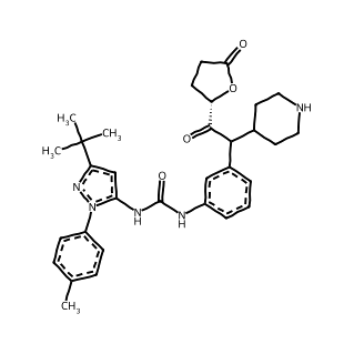 Cc1ccc(-n2nc(C(C)(C)C)cc2NC(=O)Nc2cccc(C(C(=O)[C@@H]3CCC(=O)O3)C3CCNCC3)c2)cc1